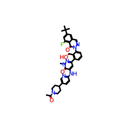 CC(=O)N1CCC(c2ccc(Nc3cc(-c4cccc(-n5ncc6cc(C(C)(C)C)cc(F)c6c5=O)c4CO)nn(C)c3=O)nc2)CC1